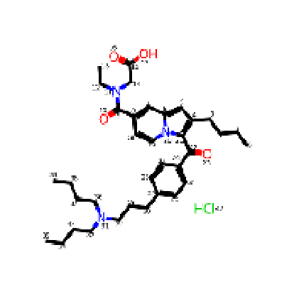 CCCCc1cc2cc(C(=O)N(CC)CC(=O)O)ccn2c1C(=O)c1ccc(CCCN(CCCC)CCCC)cc1.Cl